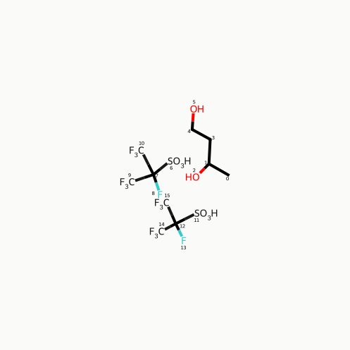 CC(O)CCO.O=S(=O)(O)C(F)(C(F)(F)F)C(F)(F)F.O=S(=O)(O)C(F)(C(F)(F)F)C(F)(F)F